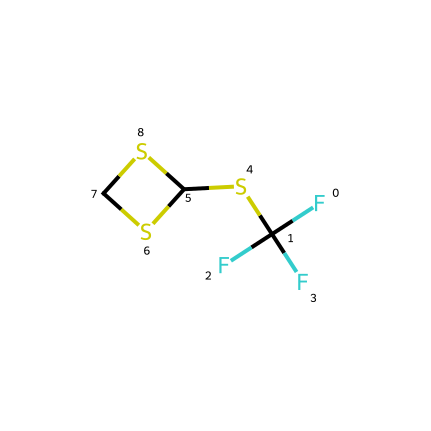 FC(F)(F)SC1SCS1